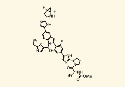 COC(=O)N[C@H](C(=O)N1CCC[C@H]1c1ncc(-c2cc(F)c3c(c2)OC(c2cnc(CC(C)C)s2)n2c-3cc3cc(-c4cnc([C@@H]5C[C@@H]6C[C@H]6N5)[nH]4)ccc32)[nH]1)C(C)C